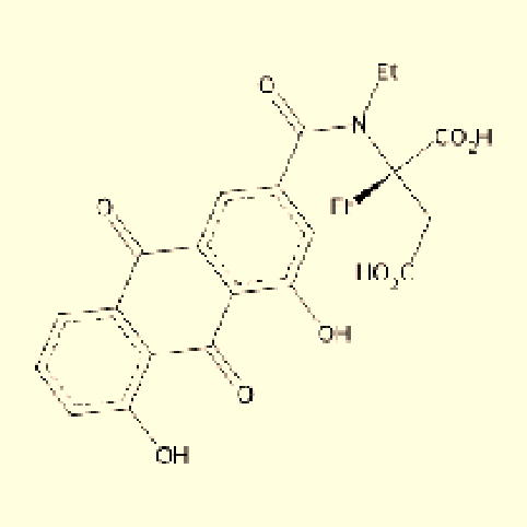 CCN(C(=O)c1cc(O)c2c(c1)C(=O)c1cccc(O)c1C2=O)[C@@](CC)(CC(=O)O)C(=O)O